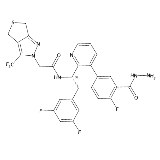 NNC(=O)c1cc(-c2cccnc2[C@H](Cc2cc(F)cc(F)c2)NC(=O)Cn2nc3c(c2C(F)(F)F)CSC3)ccc1F